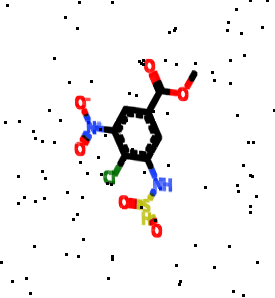 COC(=O)c1cc(N[SH](=O)=O)c(Cl)c([N+](=O)[O-])c1